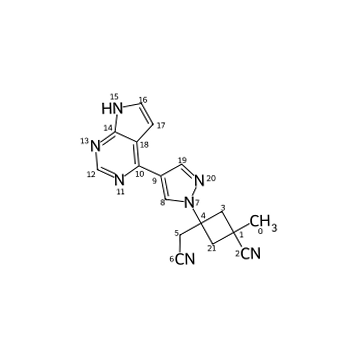 CC1(C#N)CC(CC#N)(n2cc(-c3ncnc4[nH]ccc34)cn2)C1